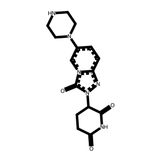 O=C1CCC(n2nc3ccc(N4CCNCC4)cn3c2=O)C(=O)N1